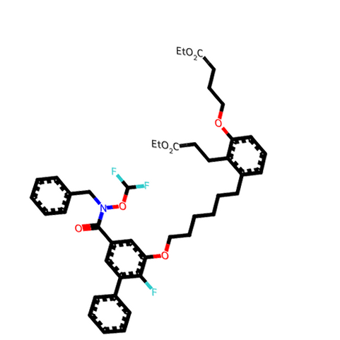 CCOC(=O)CCCOc1cccc(CCCCCCOc2cc(C(=O)N(Cc3ccccc3)OC(F)F)cc(-c3ccccc3)c2F)c1CCC(=O)OCC